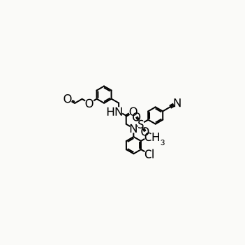 Cc1c(Cl)cccc1N(CC(=O)NCc1cccc(OCC=O)c1)S(=O)(=O)c1ccc(C#N)cc1